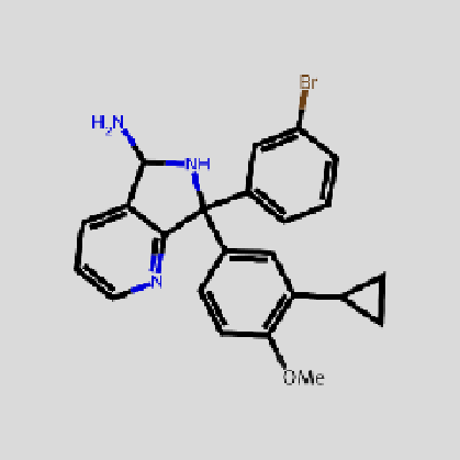 COc1ccc(C2(c3cccc(Br)c3)NC(N)c3cccnc32)cc1C1CC1